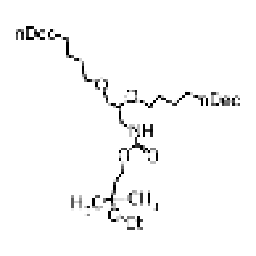 CCCCCCCCCCCCCCOCC(CNC(=O)OCCC(C)(C)OCC)OCCCCCCCCCCCCCC